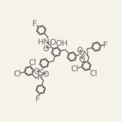 O=S(=O)(NCc1ccc(F)cc1)c1cc(Cc2cccc(S(=O)(=O)N(Cc3ccc(F)cc3)Cc3cc(Cl)cc(Cl)c3)c2)cc(Cc2cccc(S(=O)(=O)N(Cc3ccc(F)cc3)Cc3cc(Cl)cc(Cl)c3)c2)c1O